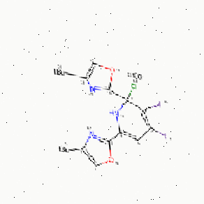 CC(C)(C)c1coc(C2=CC(I)=C(I)C(Cl)(c3nc(C(C)(C)C)co3)N2)n1.[Co]